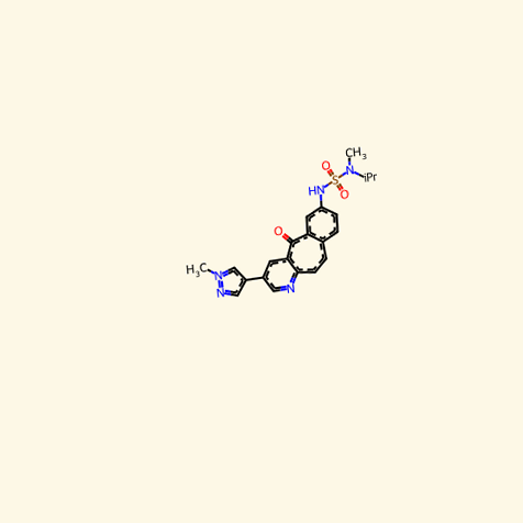 CC(C)N(C)S(=O)(=O)Nc1ccc2ccc3ncc(-c4cnn(C)c4)cc3c(=O)c2c1